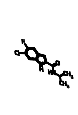 CC(C)NC(=O)c1cc2cc(F)c(Cl)cc2[nH]1